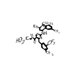 CCOC(=O)N1c2ccc(C(F)(F)F)cc2[C@@H](Nc2ncc(C(=O)NCC(=O)O)c(Cc3cc(C(F)(F)F)cc(C(F)(F)F)c3)n2)C[C@H]1CC